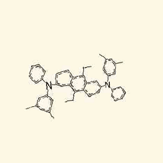 CCc1c2ccc(N(c3ccccc3)c3cc(C)cc(C)c3)cc2c(CC)c2ccc(N(c3ccccc3)c3cc(C)cc(C)c3)cc12